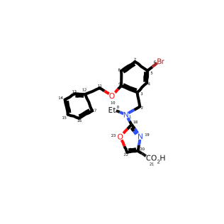 CCN(Cc1cc(Br)ccc1OCc1ccccc1)c1nc(C(=O)O)co1